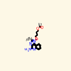 CCCCc1nc2c(N)nc3ccccc3c2n1OCCCCOC(=O)CC